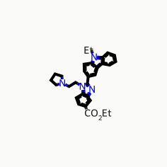 CCOC(=O)c1ccc2c(c1)nc(-c1ccc3c(c1)c1ccccc1n3CC)n2CCN1CCCC1